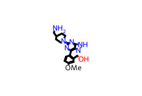 COc1ccc(-c2nc(N3CCC(CN)CC3)nc3[nH]cnc23)c(CO)c1